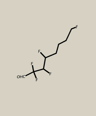 O=CC(F)(F)C(F)C(F)CCCCF